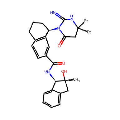 CCC1(CC)CC(=O)N([C@@H]2CCCc3ccc(C(=O)N[C@@H]4c5ccccc5C[C@@]4(C)O)cc32)C(=N)N1